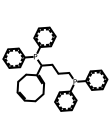 C1=CCCC(C(CCCP(c2ccccc2)c2ccccc2)P(c2ccccc2)c2ccccc2)=CCC1